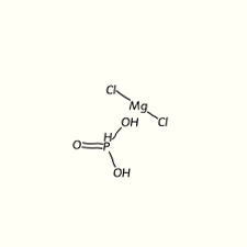 O=[PH](O)O.[Cl][Mg][Cl]